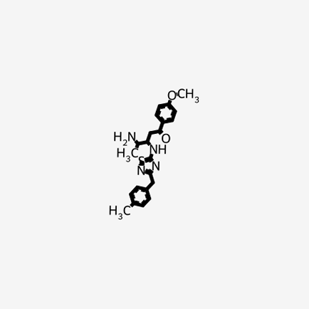 COc1ccc(C(=O)CC(Nc2nc(Cc3ccc(C)cc3)ns2)C(C)N)cc1